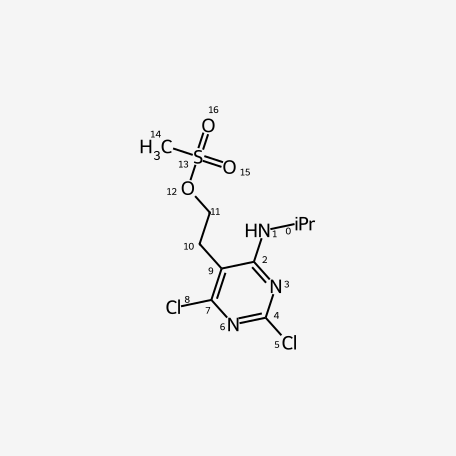 CC(C)Nc1nc(Cl)nc(Cl)c1CCOS(C)(=O)=O